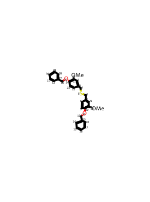 COc1cc(CSCc2ccc(OCc3ccccc3)c(OC)c2)ccc1OCc1ccccc1